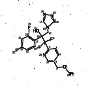 CC(C)OCc1ccc(C(F)(F)C(O)(Cn2cnnn2)c2ccc(F)cc2F)nc1